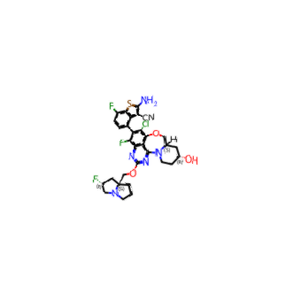 N#Cc1c(N)sc2c(F)ccc(-c3c(Cl)c4c5c(nc(OC[C@@]67CCCN6C[C@H](F)C7)nc5c3F)N3CC[C@@H](O)C[C@H]3CO4)c12